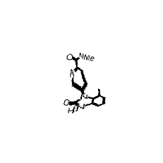 CNC(=O)c1ccc(-n2c(=O)[nH]c3cccc(C)c32)cn1